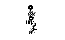 Cc1c(-c2ccnc(Nc3ccc(S(=O)(=O)NCc4ccccc4)cc3)n2)sc(=O)n1C